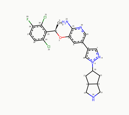 C[C@@H](Oc1cc(-c2cnn(C3CC4CNCC4C3)c2)cnc1N)c1c(Cl)ccc(F)c1Cl